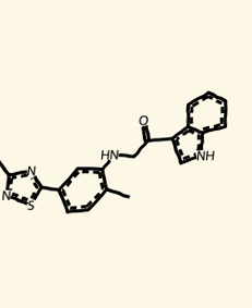 Cc1nsc(-c2ccc(C)c(NCC(=O)c3c[nH]c4ccccc34)c2)n1